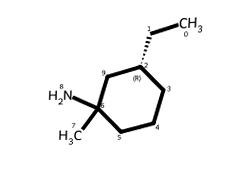 CC[C@@H]1CCCC(C)(N)C1